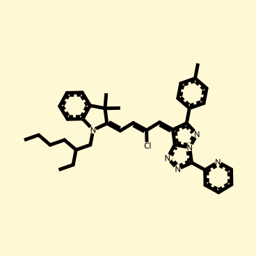 CCCCC(CC)CN1/C(=C/C=C(Cl)/C=c2/c(-c3ccc(C)cc3)nn3c(-c4ccccn4)nnc23)C(C)(C)c2ccccc21